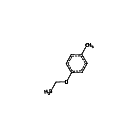 BCOc1ccc(C)cc1